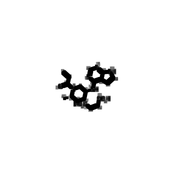 C=CC(=O)N1C[C@H](Nc2ncnc3[nH]ccc23)CC[C@@H]1C.O=C(O)/C=C\C(=O)O